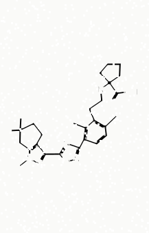 Cc1ccc(-c2noc(-c3nn(C)c4c3CCC(C)(C)C4)n2)c(C)c1CCNC1(C(=O)O)CCCC1